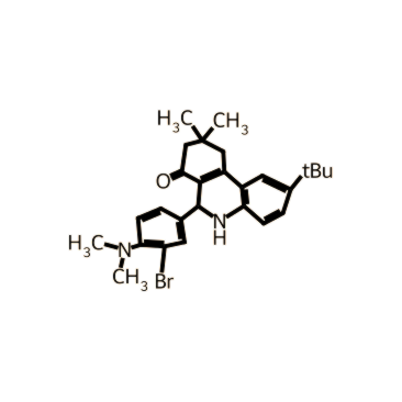 CN(C)c1ccc(C2Nc3ccc(C(C)(C)C)cc3C3=C2C(=O)CC(C)(C)C3)cc1Br